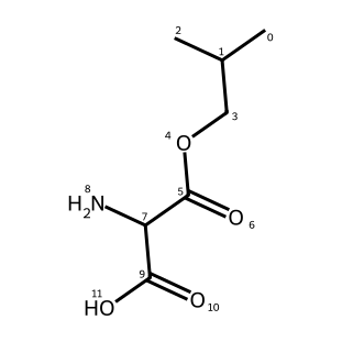 CC(C)COC(=O)C(N)C(=O)O